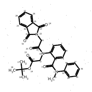 CN(C(=O)c1ccccc1N(CC(=O)OC(C)(C)C)C(=O)CN1C(=O)c2ccccc2C1=O)c1ccccc1